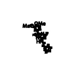 COc1ccc(-c2c(C)nn3c(NCCc4ccncc4)nc(C)nc23)cc1OC